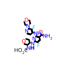 NC(=O)c1cc(F)c(N[C@@H]2CCOC[C@@H]2NC(=O)O)nc1Nc1ccnc(N2CCOCC2)c1F